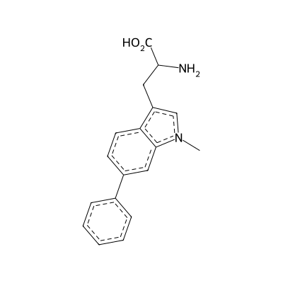 Cn1cc(CC(N)C(=O)O)c2ccc(-c3ccccc3)cc21